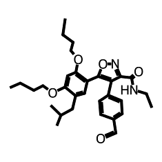 CCCCOc1cc(OCCCC)c(-c2onc(C(=O)NCC)c2-c2ccc(C=O)cc2)cc1CC(C)C